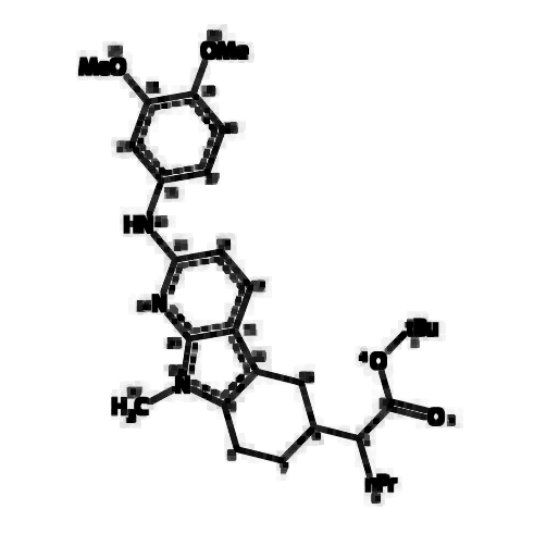 CCCC(C(=O)OC(C)(C)C)C1CCc2c(c3ccc(Nc4ccc(OC)c(OC)c4)nc3n2C)C1